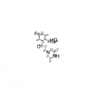 CC1CN(CCC(=O)c2cccc(F)c2)CC(C)N1.Cl.Cl